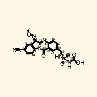 CO/N=C1\c2cc(C#N)ccc2-n2c1nc1ccc(CNS(=O)(=O)NC(=O)O)cc1c2=O